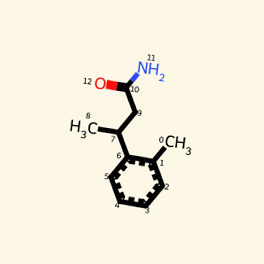 Cc1ccccc1C(C)CC(N)=O